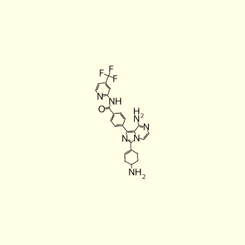 Nc1nccn2c(C3=CCC(N)CC3)nc(-c3ccc(C(=O)Nc4cc(C(F)(F)F)ccn4)cc3)c12